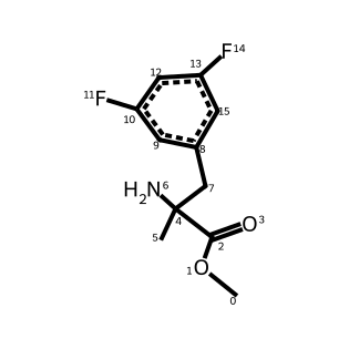 COC(=O)C(C)(N)Cc1cc(F)cc(F)c1